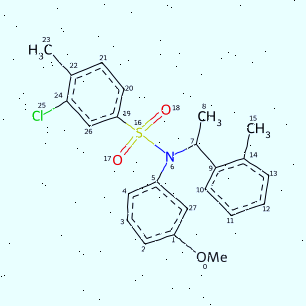 COc1cccc(N(C(C)c2ccccc2C)S(=O)(=O)c2ccc(C)c(Cl)c2)c1